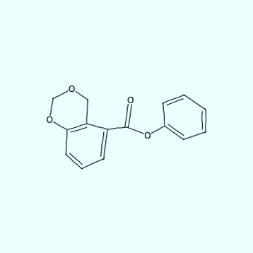 O=C(Oc1ccccc1)c1cccc2c1COCO2